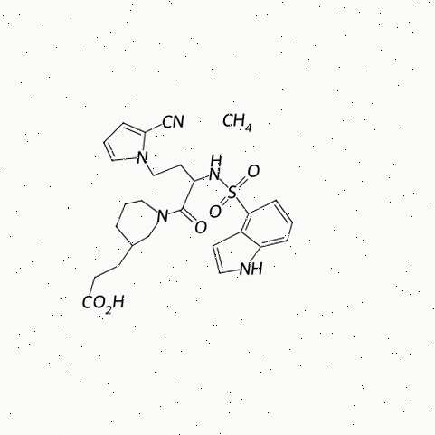 C.N#Cc1cccn1CCC(NS(=O)(=O)c1cccc2[nH]ccc12)C(=O)N1CCCC(CCC(=O)O)C1